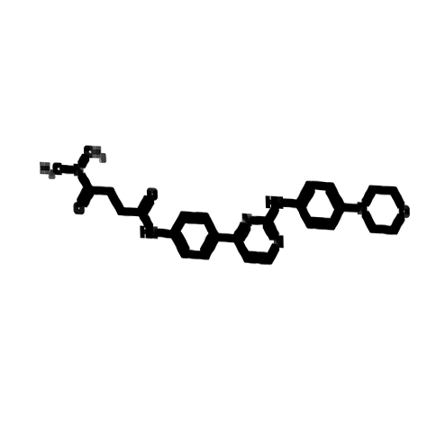 CN(C)C(=O)CCC(=O)Nc1ccc(-c2ccnc(Nc3ccc(N4CCOCC4)cc3)n2)cc1